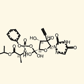 C#CC1(O)[C@@H](O)[C@@H](C(O)(O)OP(=O)(N[C@@H](C)C(=O)OC(C)C)Oc2ccccc2)O[C@H]1n1ncc(=O)[nH]c1=O